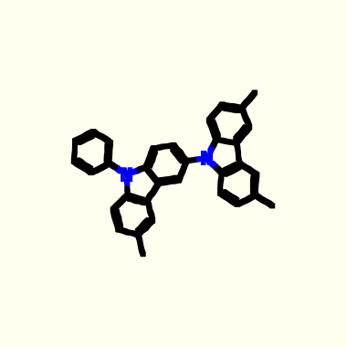 Cc1ccc2c(c1)c1cc(C)ccc1n2-c1ccc2c(c1)c1cc(C)ccc1n2-c1ccccc1